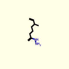 C=CC(C)CCCC(=C)NN